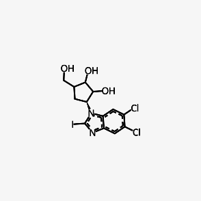 OCC1C[C@H](n2c(I)nc3cc(Cl)c(Cl)cc32)C(O)C1O